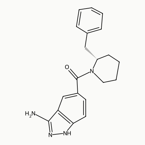 Nc1n[nH]c2ccc(C(=O)N3CCCC[C@H]3Cc3ccccc3)cc12